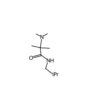 CC(C)CNC(=O)C(C)(C)N(C)C